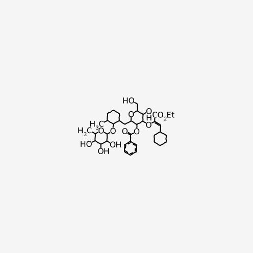 CCOC(=O)/C(=C/C1CCCCC1)OC1C(O)C(CO)OC(CC2CCCC(C)C2OC2OC(C)C(O)C(O)C2O)C1OC(=O)c1ccccc1